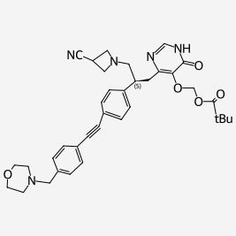 CC(C)(C)C(=O)OCOc1c(C[C@H](CN2CC(C#N)C2)c2ccc(C#Cc3ccc(CN4CCOCC4)cc3)cc2)nc[nH]c1=O